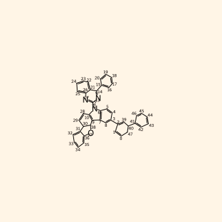 C1=CC(c2ccc3c(c2)c2c(n3-c3nc(-c4ccccc4)c4ccccc4n3)C=CC3c4ccccc4OC23)=CC(c2ccccc2)C1